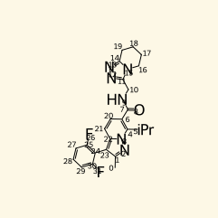 Cc1nn2c(C(C)C)c(C(=O)NCc3nnc4n3CCCC4)ccc2c1-c1c(F)cccc1F